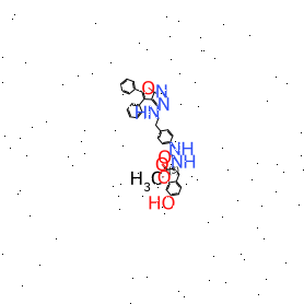 COC(=O)[C@H](Cc1ccc(O)cc1)NC(=O)Nc1ccc(CCNc2ncnc3oc(-c4ccccc4)c(-c4ccccc4)c23)cc1